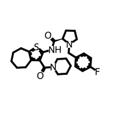 O=C(Nc1sc2c(c1C(=O)N1CCCCC1)CCCCC2)[C@H]1CCCN1Cc1ccc(F)cc1